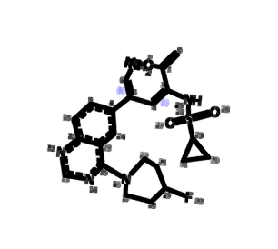 C=C(OC)/C(=C\C(=C/N)c1ccc2ncnc(N3CCC(F)CC3)c2c1)NS(=O)(=O)C1CC1